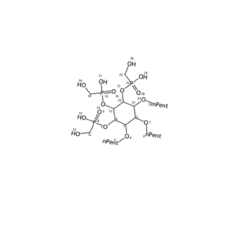 CCCCCOC1C(OCCCCC)C(OP(=O)(O)CO)C(OP(=O)(O)CO)C(OP(=O)(O)CO)C1OCCCCC